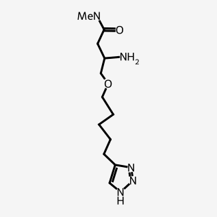 CNC(=O)CC(N)COCCCCCc1c[nH]nn1